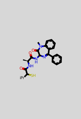 CC(C)C(S)C(=O)N[C@@H](C)C(=O)NC1N=C(c2ccccc2)c2ccccc2N(C)C1=O